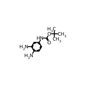 CC(C)(C)OC(=O)Nc1ccc(N)c(N)c1